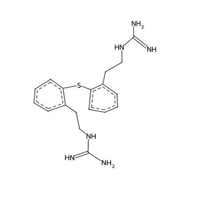 N=C(N)NCCc1ccccc1Sc1ccccc1CCNC(=N)N